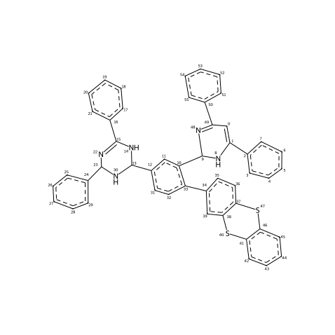 C1=C(c2ccccc2)NC(c2cc(C3NC(c4ccccc4)=NC(c4ccccc4)N3)ccc2-c2ccc3c(c2)Sc2ccccc2S3)N=C1c1ccccc1